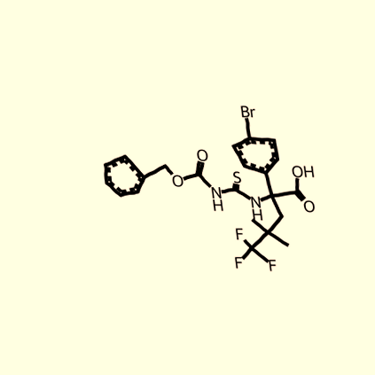 CC(C)(CC(NC(=S)NC(=O)OCc1ccccc1)(C(=O)O)c1ccc(Br)cc1)C(F)(F)F